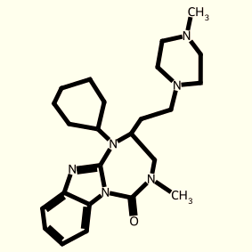 CN1CCN(CCC2CN(C)C(=O)n3c(nc4ccccc43)N2C2CCCCC2)CC1